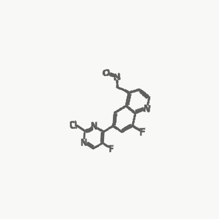 O=NCc1ccnc2c(F)cc(-c3nc(Cl)ncc3F)cc12